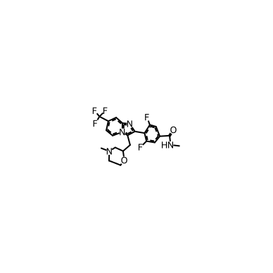 CNC(=O)c1cc(F)c(-c2nc3cc(C(F)(F)F)ccn3c2CC2CN(C)CCO2)c(F)c1